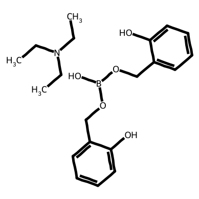 CCN(CC)CC.OB(OCc1ccccc1O)OCc1ccccc1O